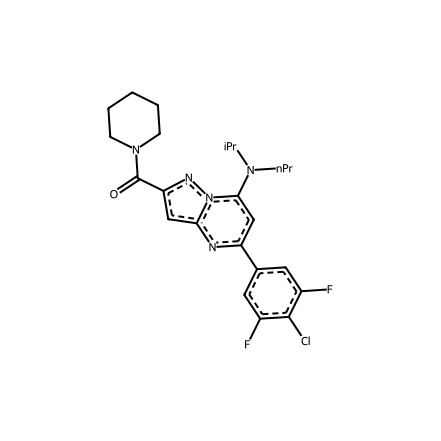 CCCN(c1cc(-c2cc(F)c(Cl)c(F)c2)nc2cc(C(=O)N3CCCCC3)nn12)C(C)C